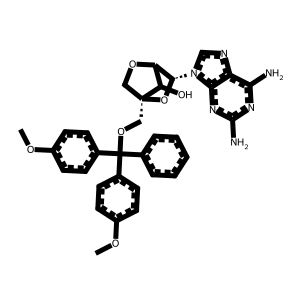 COc1ccc(C(OC[C@]23COC(C2O)[C@H](n2cnc4c(N)nc(N)nc42)O3)(c2ccccc2)c2ccc(OC)cc2)cc1